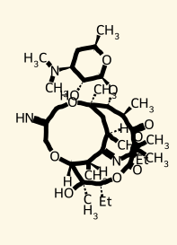 CCC(=O)/N=C1\[C@H](C)C[C@@]2(C)OCC(=N)CO[C@H]([C@H]1C)[C@](C)(O)[C@@H](CC)OC(=O)C(C)(C)C(=O)[C@H](C)[C@H]2O[C@@H]1O[C@H](C)C[C@H](N(C)C)[C@H]1O